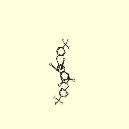 O=c1c2ccc(c(=O)n1Cc1ccc(C(F)(F)F)cc1)c1c3ccc(c(=O)n(Cc4ccc(C(F)(F)F)cc4)c3=O)c21